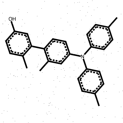 Cc1ccc(N(c2ccc(C)cc2)c2ccc(-c3cc(O)ccc3C)c(C)c2)cc1